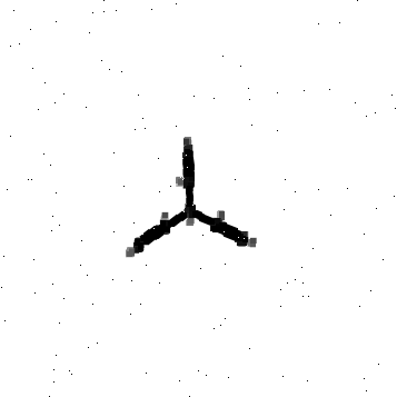 S=BB(B=S)B=S